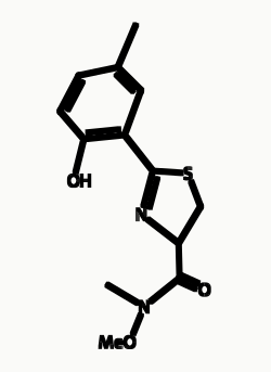 CON(C)C(=O)C1CSC(c2cc(C)ccc2O)=N1